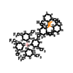 Cc1cccc(C)c1[PH+](c1c(C)cccc1C)c1c(C)cccc1C.FC(F)(F)c1cc([B-](c2cc(C(F)(F)F)cc(C(F)(F)F)c2)(c2cc(C(F)(F)F)cc(C(F)(F)F)c2)c2cc(C(F)(F)F)cc(C(F)(F)F)c2)cc(C(F)(F)F)c1